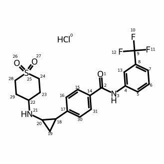 Cl.O=C(Nc1cccc(C(F)(F)F)c1)c1ccc(C2CC2NC2CCS(=O)(=O)CC2)cc1